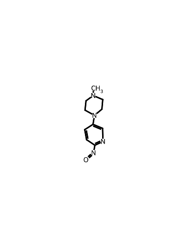 CN1CCN(c2ccc(N=O)nc2)CC1